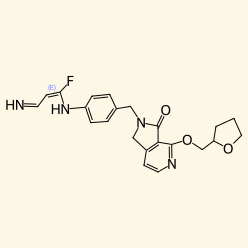 N=C/C=C(/F)Nc1ccc(CN2Cc3ccnc(OCC4CCCO4)c3C2=O)cc1